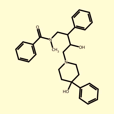 CN(CC(c1ccccc1)C(O)CN1CCC(O)(c2ccccc2)CC1)C(=O)c1ccccc1